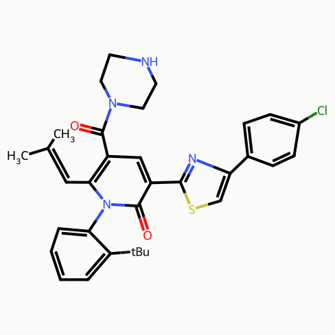 CC(C)=Cc1c(C(=O)N2CCNCC2)cc(-c2nc(-c3ccc(Cl)cc3)cs2)c(=O)n1-c1ccccc1C(C)(C)C